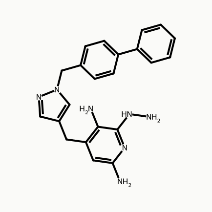 NNc1nc(N)cc(Cc2cnn(Cc3ccc(-c4ccccc4)cc3)c2)c1N